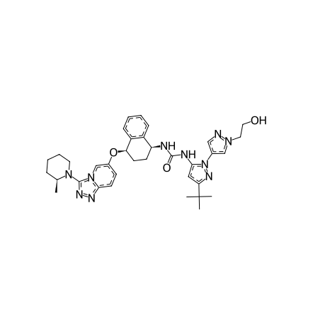 C[C@H]1CCCCN1c1nnc2ccc(O[C@@H]3CC[C@H](NC(=O)Nc4cc(C(C)(C)C)nn4-c4cnn(CCO)c4)c4ccccc43)cn12